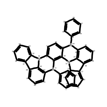 c1ccc(B2c3c(ccc4c3-n3c5ccccc5c5cccc(c53)B4c3ccccc3)-n3c4ccccc4c4cccc2c43)cc1